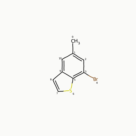 Cc1cc(Br)c2sccc2c1